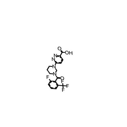 O=C(O)c1ccc(N2CCCN(C(=O)c3c(F)cccc3C(F)(F)F)C2)nn1